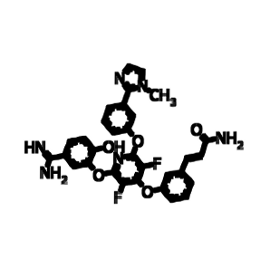 Cn1ccnc1-c1cccc(Oc2nc(Oc3cc(C(=N)N)ccc3O)c(F)c(Oc3cccc(/C=C/C(N)=O)c3)c2F)c1